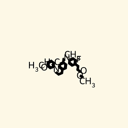 CCOC(=O)CCc1ccc(N(C)Cc2ccc3c(c2C)N(c2cccc(OC)c2)CCC3)cc1F